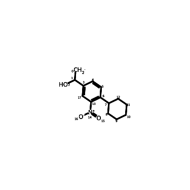 [CH2]C(O)c1ccc(C2CCCCC2)c([N+](=O)[O-])c1